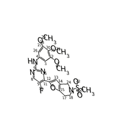 COc1cc(Nc2ncc(F)c(-c3cc4c(o3)CCN(S(C)(=O)=O)C4)n2)cc(OC)c1OC